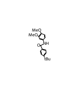 COc1ccc(NC(=O)c2ccc(C(C)(C)C)cc2)cc1OC